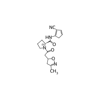 CC1=NOC(CC(=O)N2CCC[C@H]2C(=O)NC2=C(C#N)C=CC2)C1